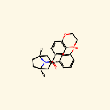 O=C(c1ccc2c(c1)OCCO2)N1[C@@H]2CC[C@H]1C[C@@H](c1cccc(O)c1)C2